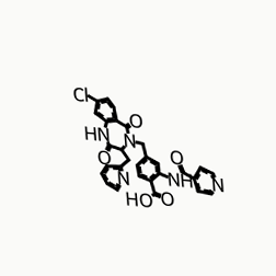 O=C(Nc1cc(CN2C(=O)c3ccc(Cl)cc3NC(=O)C2Cc2ccccn2)ccc1C(=O)O)c1ccncc1